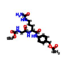 BC(=O)OCc1ccc(NC(=O)C(CCCNC(N)=O)NC(=O)CNC(=O)OC(C)(C)C)cc1